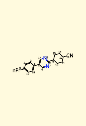 CCCc1ccc(-c2cnc(C3CCC(C#N)CC3)nc2)cc1